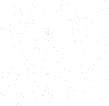 O=Nc1cccc2cc(O)c3c(c12)C3